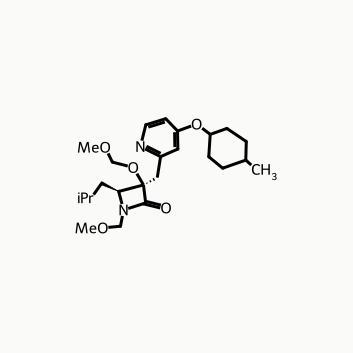 COCO[C@@]1(Cc2cc(OC3CCC(C)CC3)ccn2)C(=O)N(COC)[C@H]1CC(C)C